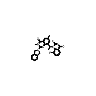 Cc1cc(C(C)n2c(=O)oc(=O)c3cccc(F)c32)c2nc(N3Cc4ccccc4C3)n(C)c(=O)c2c1